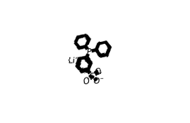 O=S(=O)([O-])c1cccc(P(C2CCCCC2)C2CCCCC2)c1.[Li+]